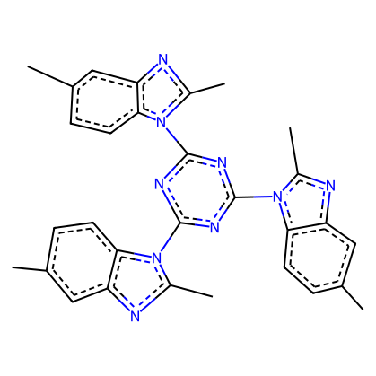 Cc1ccc2c(c1)nc(C)n2-c1nc(-n2c(C)nc3cc(C)ccc32)nc(-n2c(C)nc3cc(C)ccc32)n1